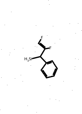 FC=C(F)C([SiH3])c1ccccc1